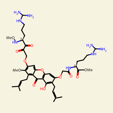 CON[C@@H](CCCNC(N)N)C(=O)C(=O)COc1cc2oc3cc(OCC(=O)N[C@@H](CCCNC(N)N)C(=O)OC)c(CC=C(C)C)c(O)c3c(=O)c2c(CC=C(C)C)c1OC